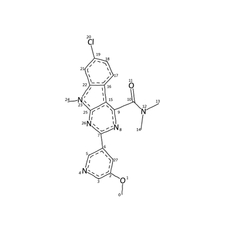 COc1cncc(-c2nc(C(=O)N(C)C)c3c4ccc(Cl)cc4n(C)c3n2)c1